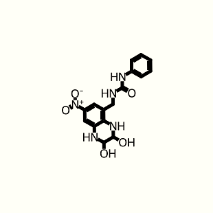 O=C(NCc1cc([N+](=O)[O-])cc2c1NC(O)C(O)N2)Nc1ccccc1